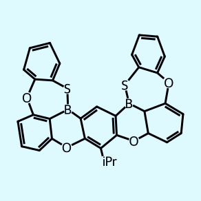 CC(C)c1c2c(cc3c1OC1C=CC=C4Oc5ccccc5SB3C41)B1Sc3ccccc3Oc3cccc(c31)O2